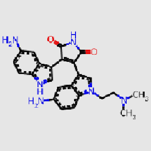 CN(C)CCn1cc(C2=C(c3c[nH]c4ccc(N)cc34)C(=O)NC2=O)c2cc(N)ccc21